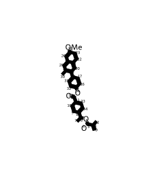 C=C(C)C(=O)OC(C)c1ccc(C(=O)Oc2ccc(-c3cc4ccc(OC)cc4cc3C)cc2)cc1